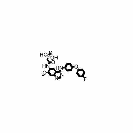 COc1cc2ncnc(Nc3ccc(Oc4ccc(F)cc4)cc3)c2cc1NC(=O)CP(=O)(O)O